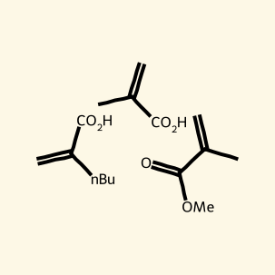 C=C(C)C(=O)O.C=C(C)C(=O)OC.C=C(CCCC)C(=O)O